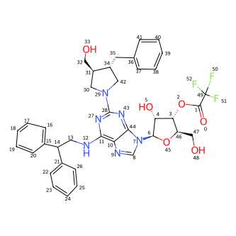 O=C(O[C@H]1[C@@H](O)[C@H](n2cnc3c(NCC(c4ccccc4)c4ccccc4)nc(N4C[C@@H](CO)[C@H](Cc5ccccc5)C4)nc32)O[C@@H]1CO)C(F)(F)F